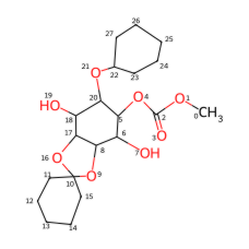 COC(=O)OC1C(O)C2OC3(CCCCC3)OC2C(O)C1OC1CCCCC1